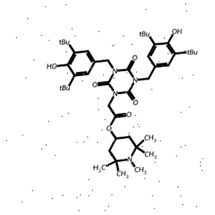 CN1C(C)(C)CC(OC(=O)Cn2c(=O)n(Cc3cc(C(C)(C)C)c(O)c(C(C)(C)C)c3)c(=O)n(Cc3cc(C(C)(C)C)c(O)c(C(C)(C)C)c3)c2=O)CC1(C)C